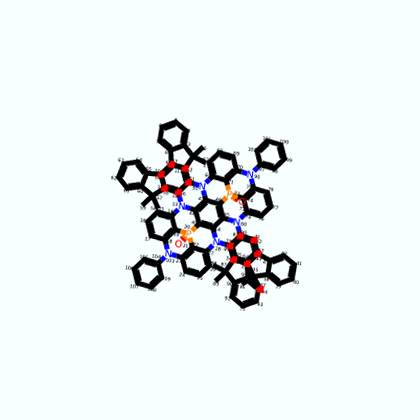 CC1(C)c2ccccc2-c2ccc(N3c4cccc5c4P4(=O)c6c(cccc6N(c6ccc7c(c6)C(C)(C)c6ccccc6-7)c6c7c8c(c3c64)N(c3ccc4c(c3)C(C)(C)c3ccccc3-4)c3cccc4c3P8(=O)c3c(cccc3N7c3ccc6c(c3)C(C)(C)c3ccccc3-6)N4c3ccccc3)N5c3ccccc3)cc21